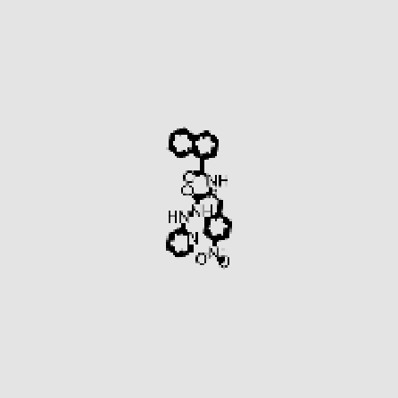 O=C(N[C@@H](Cc1ccc([N+](=O)[O-])cc1)C(=O)NNc1ccccn1)c1cccc2ccccc12